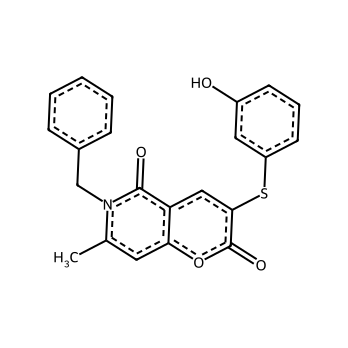 Cc1cc2oc(=O)c(Sc3cccc(O)c3)cc2c(=O)n1Cc1ccccc1